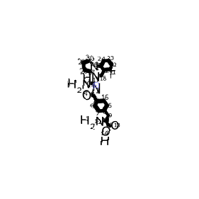 N/C(=N\C(=O)c1ccc(C[C@H](N)C(=O)O)cc1)NCc1c(F)cccc1N1CCCC1